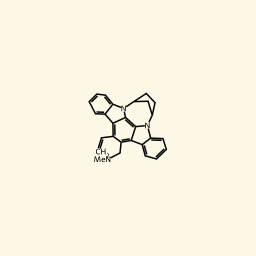 C=Cc1c(CNC)c2c3ccccc3n3c2c2c1c1ccccc1n2C1CCC3C1